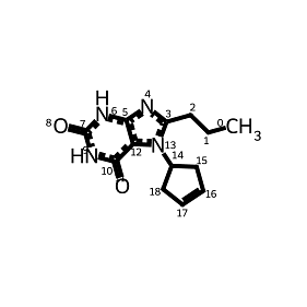 CCCc1nc2[nH]c(=O)[nH]c(=O)c2n1C1CC=CC1